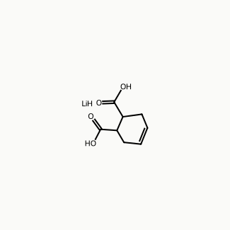 O=C(O)C1CC=CCC1C(=O)O.[LiH]